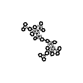 c1ccc([Si](c2ccccc2)(c2ccc(-n3c4ccccc4c4ccccc43)cc2)c2nc(-n3c4ccccc4c4ccccc43)nc(-n3c4ccccc4n4c5ccc(-c6ccc7c(c6)nc6n(-c8nc(-n9c%10ccccc%10n%10c%11ccccc%11nc9%10)nc([Si](c9ccccc9)(c9ccccc9)c9ccc(-n%10c%11ccccc%11c%11ccccc%11%10)cc9)n8)c8ccccc8n76)cc5nc34)n2)cc1